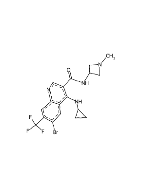 CN1CC(NC(=O)c2cnc3cc(C(F)(F)F)c(Br)cc3c2NC2CC2)C1